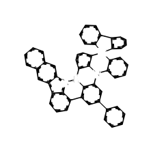 c1ccc(-c2cc3c4c(c2)N2c5ccccc5[Si]5(c6ccccc6-c6ccccc65)c5cccc(c52)B4n2c4cc5ccccc5cc4c4cccc-3c42)cc1